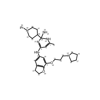 CC1=CC(Nc2cc3c(c(OCCCN4CCCC4)c2)OCC3)=NC(N)(C2CCN(C(C)C)CC2)N1